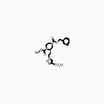 CCOC(=O)c1cn(CC[C@@H]2CN(C(=O)OCc3ccccc3)CCN2C(=O)OC(C)(C)C)nn1